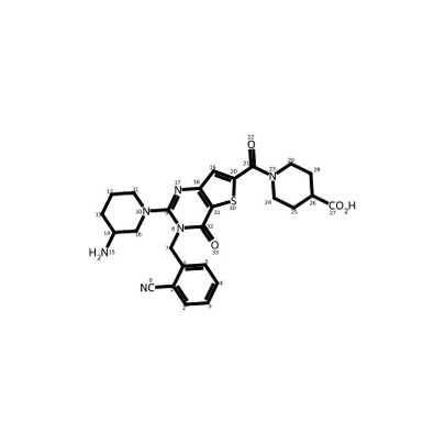 N#Cc1ccccc1Cn1c(N2CCCC(N)C2)nc2cc(C(=O)N3CCC(C(=O)O)CC3)sc2c1=O